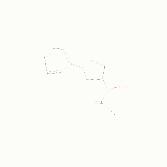 NC(=O)N(O)C1CCC(c2cccc(F)c2)C1